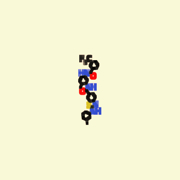 Cc1cccc(Nc2nc3ccc(C(=O)Nc4cc(NC(=O)c5cccc(C(F)(F)F)c5)ccc4C)cc3s2)c1